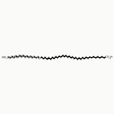 O=C(O)CCCCCCCCCCCCCCCCCCCCCCCCCCCCCCCCCCCCOOOOOOOOOOOOOOOOOC(=O)O